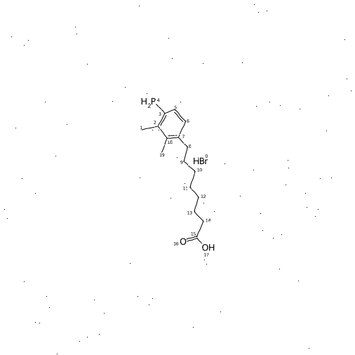 Br.Cc1c(P)ccc(CCCCCCCC(=O)O)c1C